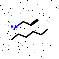 C=CCN.CCCCCC